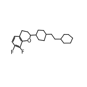 Fc1ccc2c(c1F)OC(C1CCC(CCC3CCCCC3)CC1)CC2